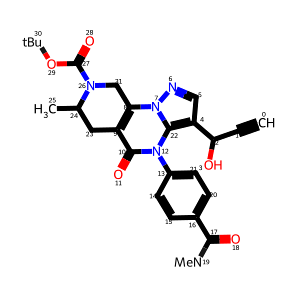 C#CC(O)c1cnn2c3c(c(=O)n(-c4ccc(C(=O)NC)cc4)c12)CC(C)N(C(=O)OC(C)(C)C)C3